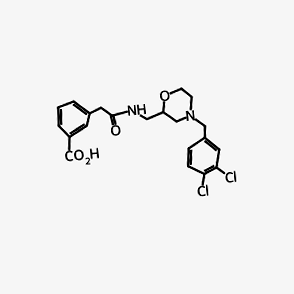 O=C(Cc1cccc(C(=O)O)c1)NCC1CN(Cc2ccc(Cl)c(Cl)c2)CCO1